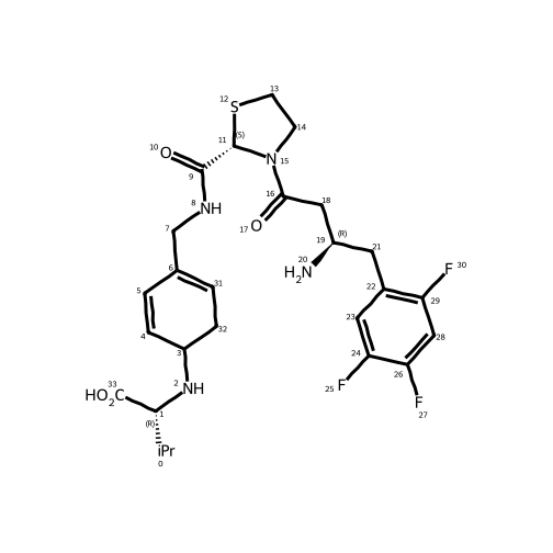 CC(C)[C@@H](NC1C=CC(CNC(=O)[C@@H]2SCCN2C(=O)C[C@H](N)Cc2cc(F)c(F)cc2F)=CC1)C(=O)O